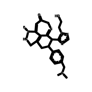 CN(C)Cc1ccc(C2CC3=C4C(=CC(=O)CN=C4C2c2ncnn2CCO)N(F)NC3)cc1